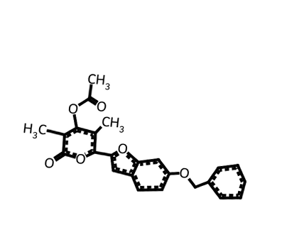 CC(=O)Oc1c(C)c(-c2cc3ccc(OCc4ccccc4)cc3o2)oc(=O)c1C